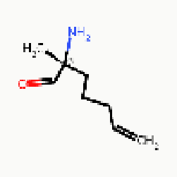 C=CCCC[C@@](C)(N)C=O